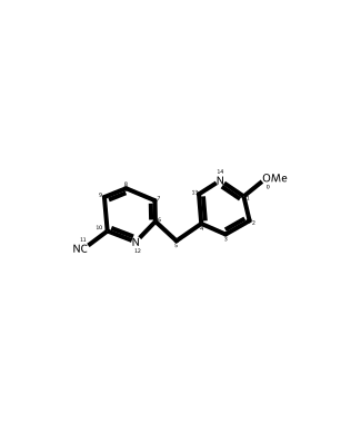 COc1ccc(Cc2cccc(C#N)n2)cn1